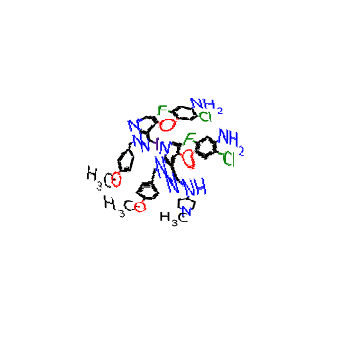 COc1ccc(Cn2nc(I)c3c(Oc4cc(Cl)c(N)cc4F)ccnc32)cc1.COc1ccc(Cn2nc(NC3CCN(C)CC3)c3c(Oc4cc(Cl)c(N)cc4F)ccnc32)cc1